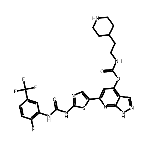 O=C(Nc1ncc(-c2cc(OC(=O)NCCC3CCNCC3)c3cn[nH]c3n2)s1)Nc1cc(C(F)(F)F)ccc1F